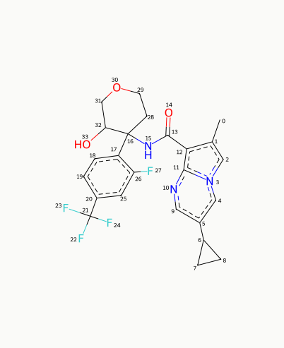 Cc1cn2cc(C3CC3)cnc2c1C(=O)NC1(c2ccc(C(F)(F)F)cc2F)CCOCC1O